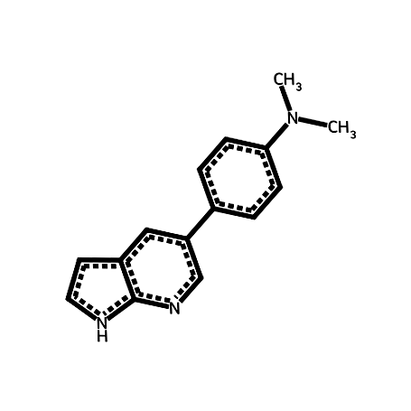 CN(C)c1ccc(-c2cnc3[nH]ccc3c2)cc1